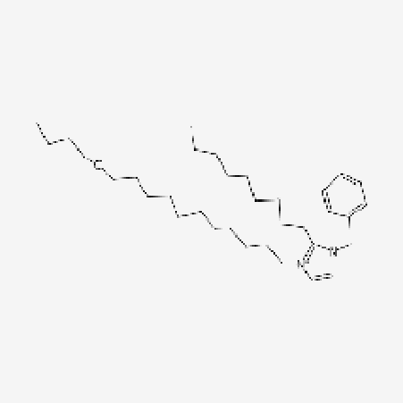 CCCCCCCCCCCCCCCC[n+]1ccn(Cc2ccccc2)c1CCCCCCCCC